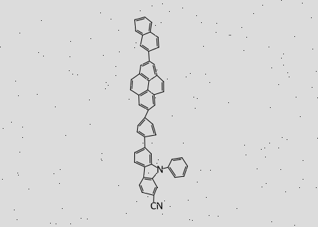 N#Cc1ccc2c3ccc(-c4ccc(-c5cc6ccc7cc(-c8ccc9ccccc9c8)cc8ccc(c5)c6c78)cc4)cc3n(-c3ccccc3)c2c1